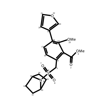 COC(=O)c1c(CS(=O)(=O)N2C3CCC2CC3)ccc(-c2ccoc2)c1OC